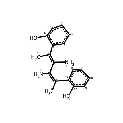 CC(=C(N)C(N)=C(C)c1ccccc1O)c1ccccc1O